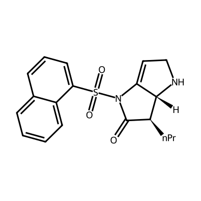 CCC[C@H]1C(=O)N(S(=O)(=O)c2cccc3ccccc23)C2=CCN[C@@H]21